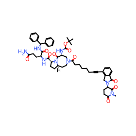 CN1C(=O)CCC(N2Cc3c(C#CCCCCCC(=O)N4CC[C@H]5CC[C@@H](C(=O)N[C@@H](CCC(N)=O)C(=O)NC(c6ccccc6)c6ccccc6)N5C(=O)[C@@H](NC(=O)OC(C)(C)C)C4)cccc3C2=O)C1=O